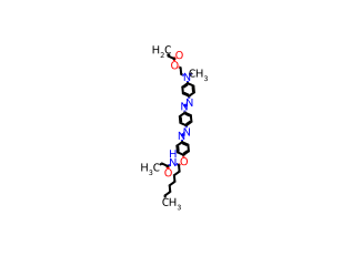 C=CC(=O)OCCN(C)c1ccc(N=Nc2ccc(N=Nc3ccc(OC(CCCCCCC)NC(=O)CC)cc3)cc2)cc1